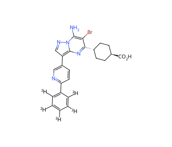 [2H]c1c([2H])c([2H])c(-c2ccc(-c3cnn4c(N)c(Br)c([C@H]5CC[C@H](C(=O)O)CC5)nc34)cn2)c([2H])c1[2H]